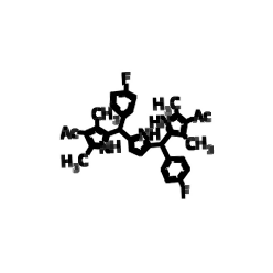 CC(=O)c1c(C)[nH]c(C(c2ccc(F)cc2)c2ccc(C(c3ccc(F)cc3)c3[nH]c(C)c(C(C)=O)c3C)[nH]2)c1C